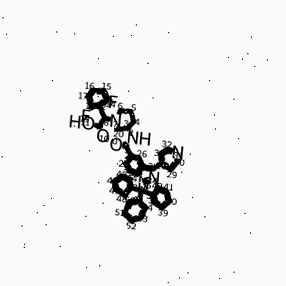 O=C(NC1CCCN(C(C(=O)O)c2c(F)cccc2F)C1)c1ccc2c(c1)c(-c1ccncc1)nn2C(c1ccccc1)(c1ccccc1)c1ccccc1